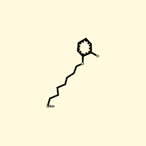 CCCCCCCCCCCCCCCCOc1ccccc1[O]